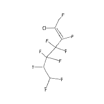 FC(Cl)=C(F)C(F)(F)C(F)(F)C(F)C(F)F